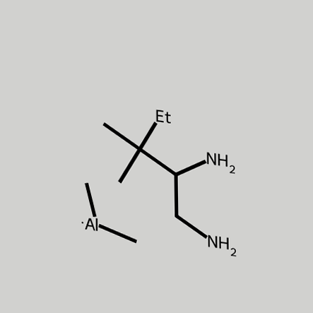 CCC(C)(C)C(N)CN.[CH3][Al][CH3]